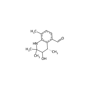 Cc1ccc(C=O)c2c1NC(C)(C)C(O)[C@H]2C